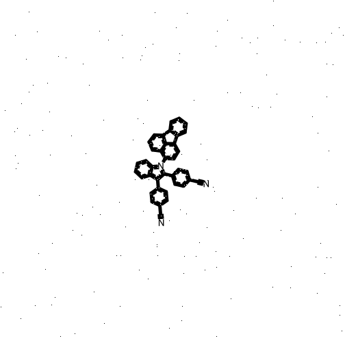 N#Cc1ccc(-c2c(-c3ccc(C#N)cc3)n(-c3ccc4c5c(cccc35)-c3ccccc3-4)c3ccccc23)cc1